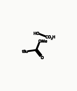 COC(=O)C(C)(C)C.O=C(O)O